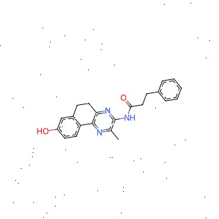 Cc1nc2c(nc1NC(=O)CCc1ccccc1)CCc1cc(O)ccc1-2